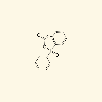 O=C(OI(=O)(c1ccccc1)c1ccccc1)C(F)(F)F